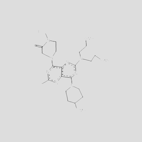 COCCN(CCOC)c1nc(N2CCC(OC)CC2)c2nc(Cl)nc(N3CCN(C)C(=O)C3)c2n1